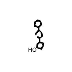 C=C(/C=C\C(=C/C)c1ccccc1)c1cccc(O)c1